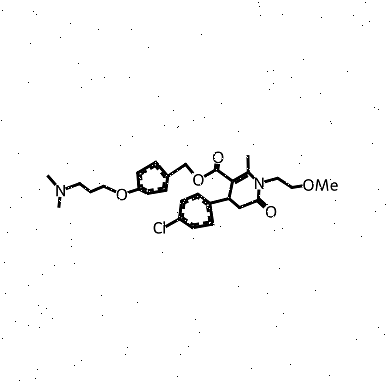 COCCN1C(=O)CC(c2ccc(Cl)cc2)C(C(=O)OCc2ccc(OCCCN(C)C)cc2)=C1C